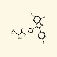 O=C(N[C@H]1C[C@H](c2c(-c3ccc(F)cc3)[nH]c3c(F)cc(F)cc32)C1)C(O)C1CC1